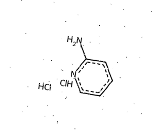 Cl.Cl.Nc1ccccn1